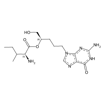 CCC(C)[C@H](N)C(=O)O[C@@H](CO)CCCn1cnc2c(=O)[nH]c(N)nc21